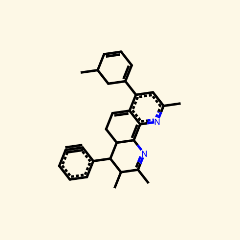 CC1=NC2=c3nc(C)cc(C4=CC=CC(C)C4)c3=CCC2C(c2c#cccc2)C1C